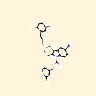 N#Cc1ccc2c(c1)c1c(n2C(=O)NCc2ccnc(Cl)c2)CCN(CC=Cc2cc(Br)ccc2F)C1